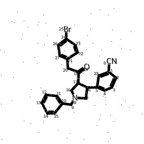 N#Cc1cccc(C2CN(Cc3ccccc3)CC2C(=O)Cc2ccc(Br)cc2)c1